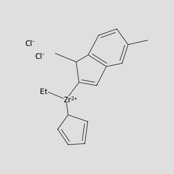 C[CH2][Zr+2]([C]1=Cc2cc(C)ccc2C1C)[CH]1C=CC=C1.[Cl-].[Cl-]